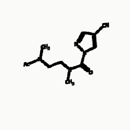 CC(=O)N(C)CCN(C)C(=O)n1cc(C#N)cn1